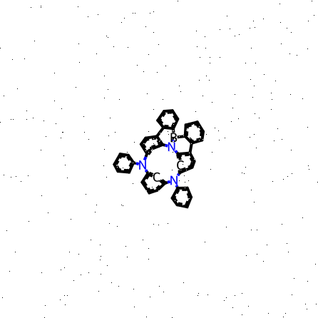 c1ccc(N2c3cccc(c3)N(c3ccccc3)c3ccc4c(c3)N3B(c5ccccc5-c5ccc2cc53)c2ccccc2-4)cc1